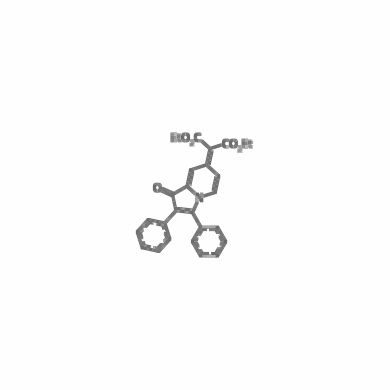 CCOC(=O)C(C(=O)OCC)=C1C=CN2C(=C1)C(=O)C(c1ccccc1)=C2c1ccccc1